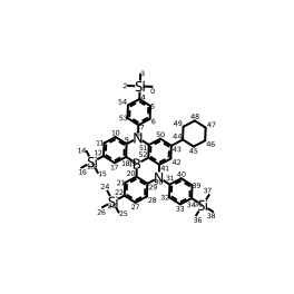 C[Si](C)(C)c1ccc(N2c3ccc([Si](C)(C)C)cc3B3c4cc([Si](C)(C)C)ccc4N(c4ccc([Si](C)(C)C)cc4)c4cc(C5CCCCC5)cc2c43)cc1